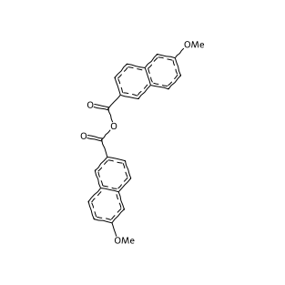 COc1ccc2cc(C(=O)OC(=O)c3ccc4cc(OC)ccc4c3)ccc2c1